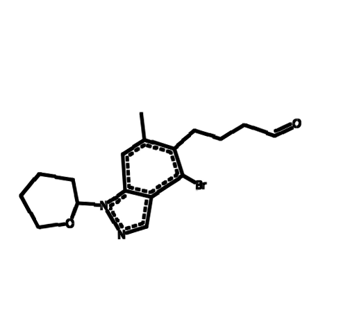 Cc1cc2c(cnn2C2CCCCO2)c(Br)c1CCCC=O